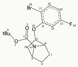 CC(C)(C)OC(=O)N1C2CCC1C(Oc1cc(F)ccc1Br)C2